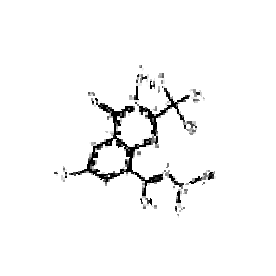 CC(=N[S@+]([O-])C(C)(C)C)c1cc(C)cc2c(=O)n(C)c(C(C)(C)C#N)nc12